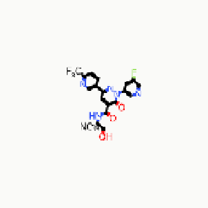 N#C[C@@H](CO)NC(=O)c1cc(-c2ccc(C(F)(F)F)nc2)nn(-c2cncc(F)c2)c1=O